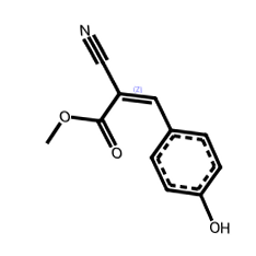 COC(=O)/C(C#N)=C\c1ccc(O)cc1